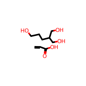 C=CC(=O)O.OCCCC(CO)CO